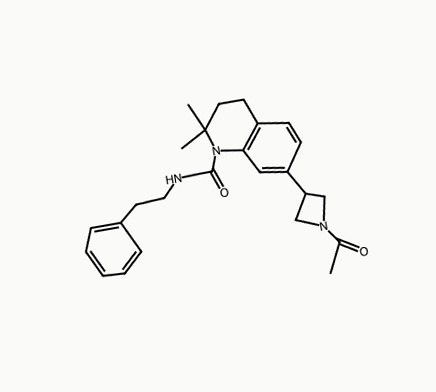 CC(=O)N1CC(c2ccc3c(c2)N(C(=O)NCCc2ccccc2)C(C)(C)CC3)C1